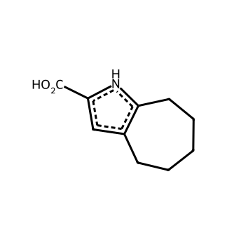 O=C(O)c1cc2c([nH]1)CCCCC2